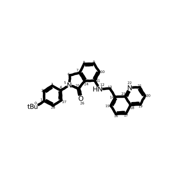 CC(C)(C)c1ccc(N2Cc3cccc(NCc4cccc5cccnc45)c3C2=O)cc1